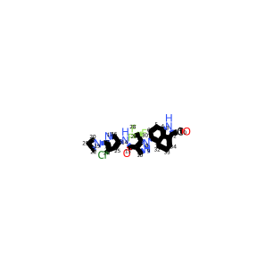 O=C=c1[nH]c2ccc(-n3ncc(C(=O)Nc4cnc(N5CCC5)c(Cl)c4)c3C(F)(F)F)c3cccc1c23